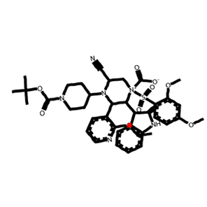 CCOc1ncccc1C1C(C2C(=O)Nc3ccccc32)[N+](C(=O)[O-])(S(=O)(=O)c2ccc(OC)cc2OC)CC(C#N)N1C1CCN(C(=O)OC(C)(C)C)CC1